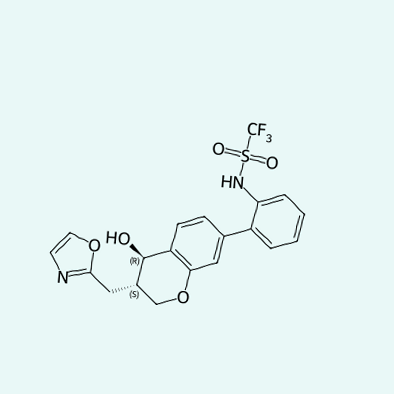 O=S(=O)(Nc1ccccc1-c1ccc2c(c1)OC[C@H](Cc1ncco1)[C@H]2O)C(F)(F)F